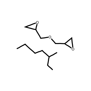 C(OCC1CO1)C1CO1.CCCCC(C)CC